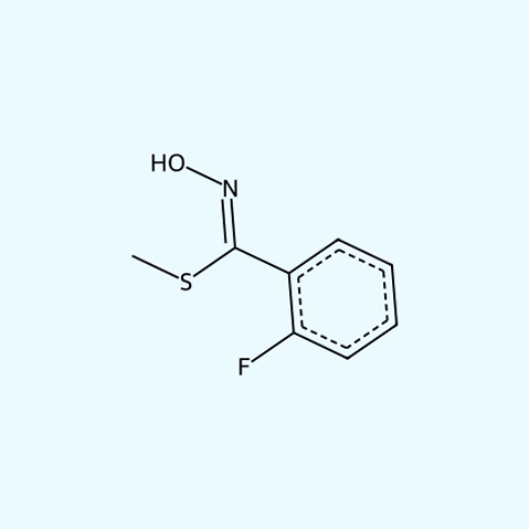 CSC(=NO)c1ccccc1F